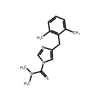 Cc1cccc(C)c1Cc1cn(C(=S)N(C)C)cn1